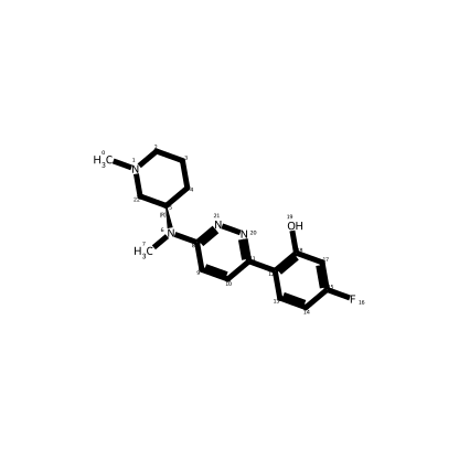 CN1CCC[C@@H](N(C)c2ccc(-c3ccc(F)cc3O)nn2)C1